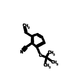 C=[C]c1cccc(OC(C)(C)C)c1C#N